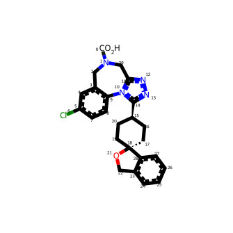 O=C(O)N1Cc2cc(Cl)ccc2-n2c(nnc2[C@H]2CC[C@@]3(CC2)OCc2ccccc23)C1